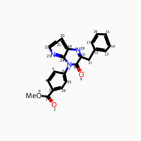 COC(=O)c1ccc(-n2c(=O)c(Cc3ccccc3)nc3cccnc32)cc1